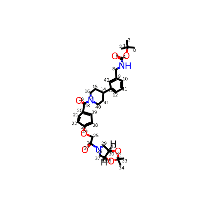 CC(C)(C)OC(=O)NCc1cccc(C2CCN(C(=O)c3ccc(OCC(=O)N4C[C@@H]5OC(C)(C)O[C@@H]5C4)cc3)CC2)c1